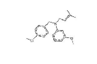 COc1ccc(CN(CC=C(C)C)c2cccc(OC)c2)cc1